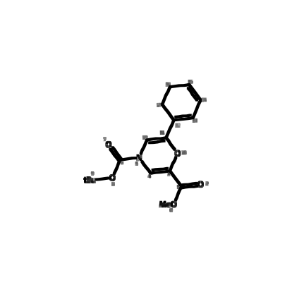 COC(=O)C1=CN(C(=O)OC(C)(C)C)C=C(C2=CC=CCC2)O1